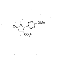 COc1ccc(C2C(C(=O)O)CC(=O)N2C)cc1